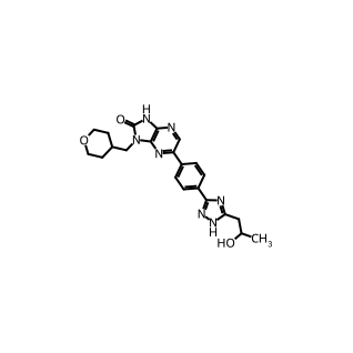 CC(O)Cc1nc(-c2ccc(-c3cnc4[nH]c(=O)n(CC5CCOCC5)c4n3)cc2)n[nH]1